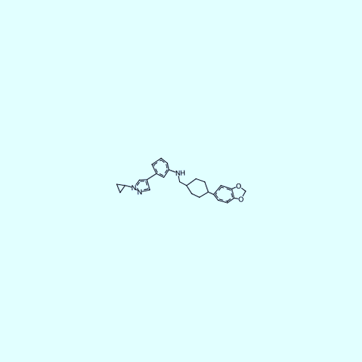 c1cc(NCC2CCC(c3ccc4c(c3)OCO4)CC2)cc(-c2cnn(C3CC3)c2)c1